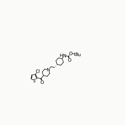 CC(C)(C)OC(=O)N[C@H]1CC[C@H](CCN2CCC(C(=O)c3sccc3Cl)CC2)CC1